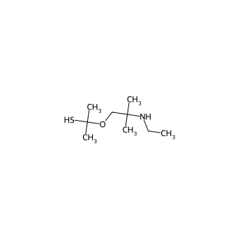 CCNC(C)(C)COC(C)(C)S